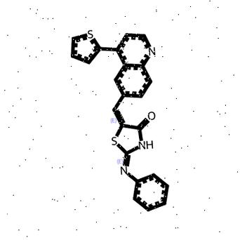 O=C1N/C(=N\c2ccccc2)S/C1=C/c1ccc2nccc(-c3cccs3)c2c1